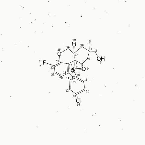 C[C@]1(CO)CC[C@@]2(S(=O)(=O)c3ccc(Cl)cc3)c3c(F)ccc(F)c3OC[C@H]2C1